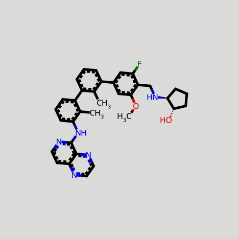 COc1cc(-c2cccc(-c3cccc(Nc4nccc5nccnc45)c3C)c2C)cc(F)c1CN[C@H]1CCC[C@@H]1O